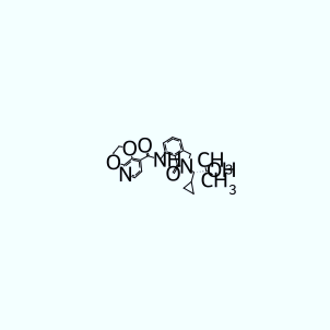 CC(C)(O)[C@H](C1CC1)N1Cc2cccc(NC(=O)c3ccnc4c3OCCO4)c2C1=O